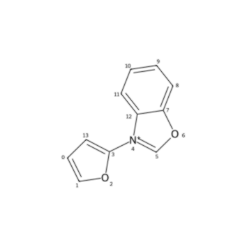 c1coc(-[n+]2coc3ccccc32)c1